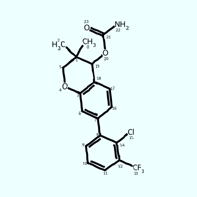 CC1(C)COc2cc(-c3cccc(C(F)(F)F)c3Cl)ccc2C1OC(N)=O